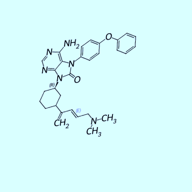 C=C(/C=C/CN(C)C)C1CCC[C@@H](n2c(=O)n(-c3ccc(Oc4ccccc4)cc3)c3c(N)ncnc32)C1